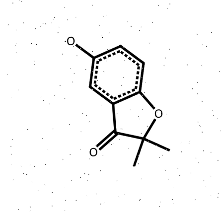 CC1(C)Oc2ccc([O])cc2C1=O